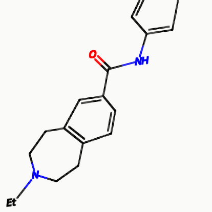 CCN1CCc2ccc(C(=O)Nc3ccccc3)cc2CC1